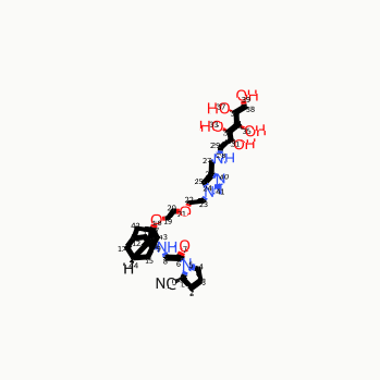 N#C[C@@H]1CCCN1C(=O)CNC12CC3C[C@@H](C1)CC(OCCOCCn1cc(CNC[C@H](O)[C@@H](O)[C@H](O)[C@H](O)CO)nn1)(C3)C2